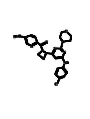 COc1ccc(C(=O)N2CCC2c2cc(Nc3ccc(Cl)cc3)nc(N3CCOCC3)n2)nc1